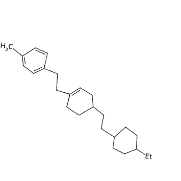 CCC1CCC(CCC2CC=C(CCc3ccc(C)cc3)CC2)CC1